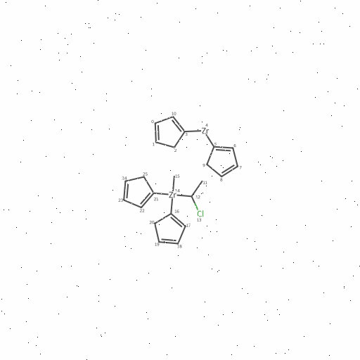 C1=CC[C]([Zr][C]2=CC=CC2)=C1.C[CH](Cl)[Zr]([CH3])([C]1=CC=CC1)[C]1=CC=CC1